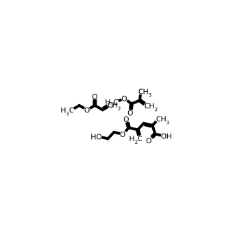 C=C(C)C(=O)OC.C=C(C=C(C)C(=O)O)C(=O)OCCO.C=CC(=O)OCC